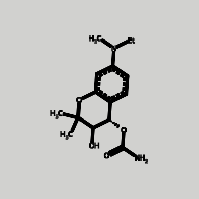 CCN(C)c1ccc2c(c1)OC(C)(C)C(O)[C@H]2OC(N)=O